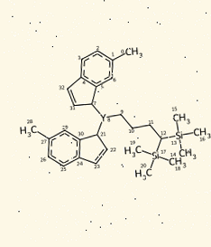 Cc1ccc2c(c1)[CH]([Y]([CH2]CC[C]([Si](C)(C)C)[Si](C)(C)C)[CH]1C=Cc3ccc(C)cc31)C=C2